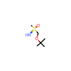 CC(C)(C)OCS(C)(=N)=O